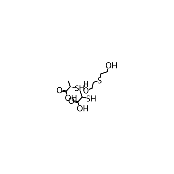 CC(S)C(=O)O.CC(S)C(=O)O.OCCSCCO